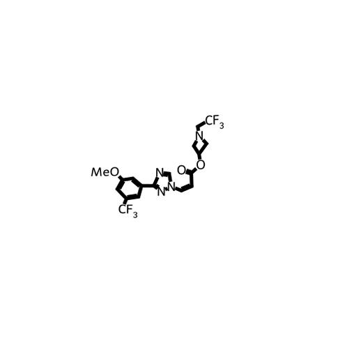 COc1cc(-c2ncn(/C=C\C(=O)OC3CN(CC(F)(F)F)C3)n2)cc(C(F)(F)F)c1